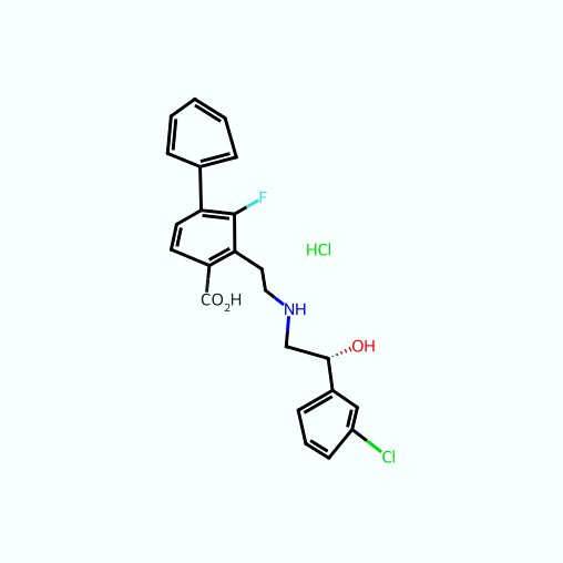 Cl.O=C(O)c1ccc(-c2ccccc2)c(F)c1CCNC[C@H](O)c1cccc(Cl)c1